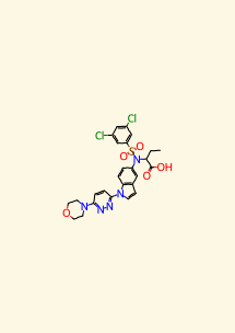 CCC(C(=O)O)N(c1ccc2c(ccn2-c2ccc(N3CCOCC3)nn2)c1)S(=O)(=O)c1cc(Cl)cc(Cl)c1